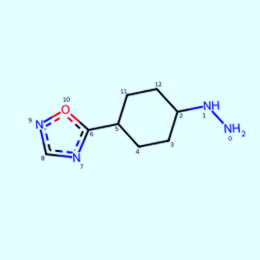 NNC1CCC(c2ncno2)CC1